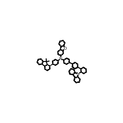 CC1(C)c2ccccc2-c2cccc(-c3ccc(N(c4ccc(-c5ccc(-c6ccccc6-n6c7ccccc7c7ccccc76)cc5)cc4)c4ccc5c(c4)oc4ccccc45)cc3)c21